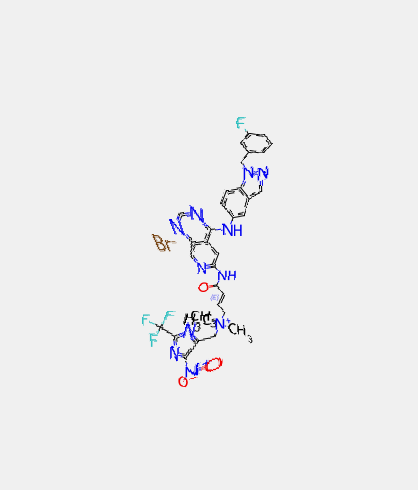 Cn1c(C(F)(F)F)nc([N+](=O)[O-])c1C[N+](C)(C)C/C=C/C(=O)Nc1cc2c(Nc3ccc4c(cnn4Cc4cccc(F)c4)c3)ncnc2cn1.[Br-]